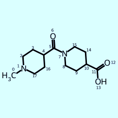 CN1CCC(C(=O)N2CCC(C(=O)O)CC2)CC1